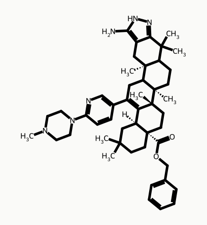 CN1CCN(c2ccc(C3=C4[C@@H]5CC(C)(C)CC[C@]5(C(=O)OCc5ccccc5)CC[C@@]4(C)[C@]4(C)CCC5C(C)(C)c6n[nH]c(N)c6C[C@]5(C)C4C3)cn2)CC1